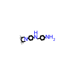 C[C@@H]1C[C@H](C)CN(c2ccc(NCc3ccc(N)cc3)cc2)C1